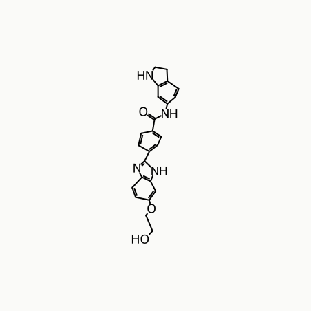 O=C(Nc1ccc2c(c1)NCC2)c1ccc(-c2nc3ccc(OCCO)cc3[nH]2)cc1